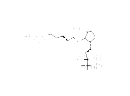 CCCCC(C)(C)C(O)(O)C=CC1CCC(O)C1CCC=CCCC(=O)O